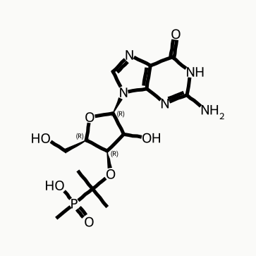 CC(C)(O[C@@H]1C(O)[C@H](n2cnc3c(=O)[nH]c(N)nc32)O[C@@H]1CO)P(C)(=O)O